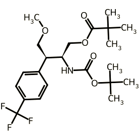 COC[C@H](c1ccc(C(F)(F)F)cc1)[C@@H](COC(=O)C(C)(C)C)NC(=O)OC(C)(C)C